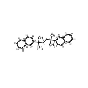 CC(C)(CCC(C)(C)c1ccc2ccccc2n1)c1ccc2cccnc2c1